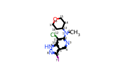 CN(c1ncc2c(I)n[nH]c2c1Cl)C1CCOCC1